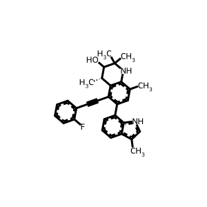 Cc1cc(-c2cccc3c(C)c[nH]c23)c(C#Cc2ccccc2F)c2c1NC(C)(C)C(O)[C@H]2C